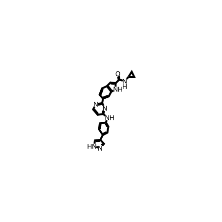 O=C(NC1CC1)c1cc2ccc(-c3nccc(Nc4ccc(-c5cn[nH]c5)cc4)n3)cc2[nH]1